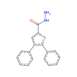 NNC(=O)c1cc(-c2ccccc2)c(-c2ccccc2)s1